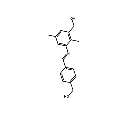 Cc1cc(CO)c(C)c(/N=C/c2ccc(CO)cc2)c1